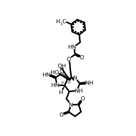 Cc1cccc(CNC(=O)OC2CN3C(=N)NC(CN4C(=O)CCC4=O)[C@@H]4NC(=N)N[C@@]43C2(O)O)c1